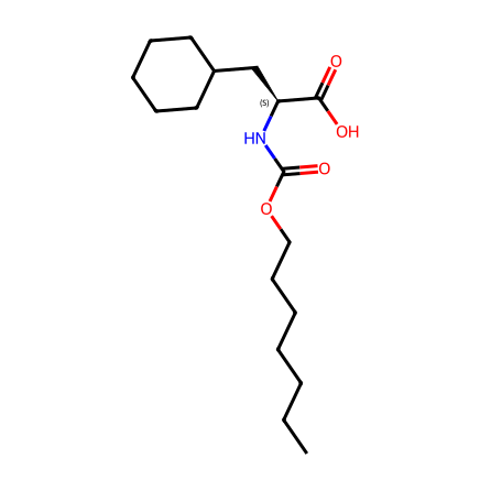 CCCCCCCOC(=O)N[C@@H](CC1CCCCC1)C(=O)O